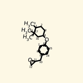 CC1CCC(Oc2ccc(CC3CO3)cc2)CC1(C)C